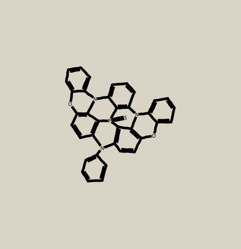 S=P12c3c4cccc3N3c5ccccc5Oc5ccc(c1c53)N(c1ccccc1)c1ccc3c(c12)N4c1ccccc1O3